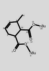 CCCCOC(=O)C1CC=CC(C)C1C(=O)OCCCC